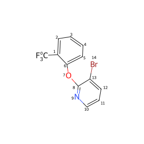 FC(F)(F)c1ccccc1Oc1ncccc1Br